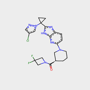 O=C([C@@H]1CCCN(c2ccc3nc(C4(n5cc(Cl)cn5)CC4)[nH]c3n2)C1)N1CC(F)(F)C1